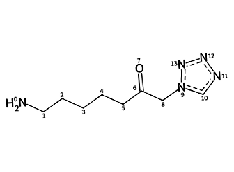 NCCCCCC(=O)Cn1cnnn1